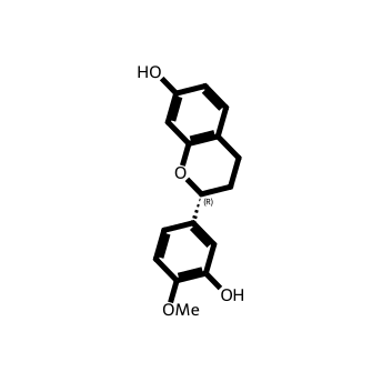 COc1ccc([C@H]2CCc3ccc(O)cc3O2)cc1O